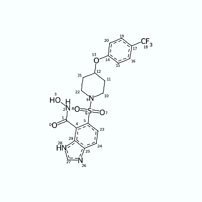 O=C(NO)c1c(S(=O)(=O)N2CCC(Oc3ccc(C(F)(F)F)cc3)CC2)ccc2nc[nH]c12